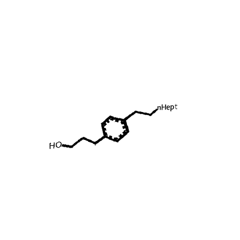 CCCCCCCCCc1ccc([CH]CCO)cc1